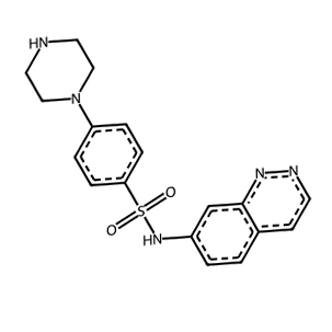 O=S(=O)(Nc1ccc2ccnnc2c1)c1ccc(N2CCNCC2)cc1